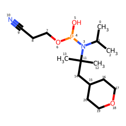 CC(C)N(P(O)OCCC#N)C(C)(C)CC1CCOCC1